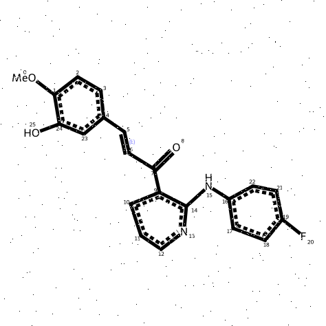 COc1ccc(/C=C/C(=O)c2cccnc2Nc2ccc(F)cc2)cc1O